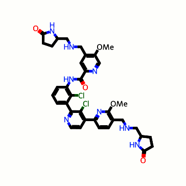 COc1cnc(C(=O)Nc2cccc(-c3nccc(-c4ccc(CNCC5CCC(=O)N5)c(OC)n4)c3Cl)c2Cl)cc1CNCC1CCC(=O)N1